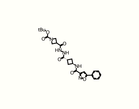 CC(C)(C)OC(=O)N1CC(C(=O)NNC(=O)[C@H]2C[C@H](NC(=O)c3cc(-c4ccccc4)on3)C2)C1